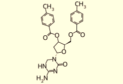 Cc1ccc(C(=O)OC[C@H]2O[C@H](N3CNC(N)=NC3=O)CC2OC(=O)c2ccc(C)cc2)cc1